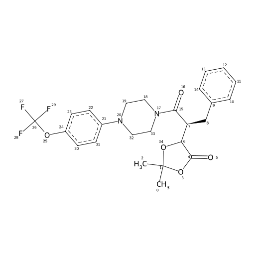 CC1(C)OC(=O)C([C@H](Cc2ccccc2)C(=O)N2CCN(c3ccc(OC(F)(F)F)cc3)CC2)O1